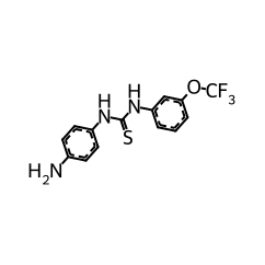 Nc1ccc(NC(=S)Nc2cccc(OC(F)(F)F)c2)cc1